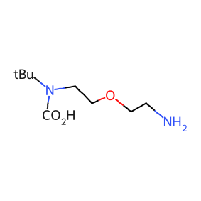 CC(C)(C)N(CCOCCN)C(=O)O